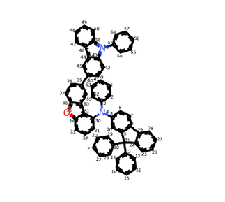 c1ccc(N(c2ccc3c(c2)C(c2ccccc2)(c2ccccc2)c2ccccc2-3)c2cccc3oc4ccc(-c5ccc6c(c5)c5ccccc5n6-c5ccccc5)cc4c23)cc1